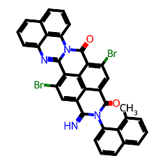 Cc1cccc2cccc(N3C(=N)c4cc(Br)c5c6c4c(cc(Br)c6c(=O)n4c6cccc7cccc(nc54)c76)C3=O)c12